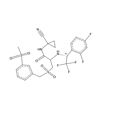 CS(=O)(=O)c1cccc(CS(=O)(=O)CC(N[C@H](c2ccc(F)cc2F)C(F)(F)F)C(=O)NC2(C#N)CC2)c1